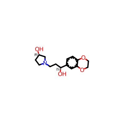 O[C@@H]1CCN(CC[C@H](O)c2ccc3c(c2)OCCO3)C1